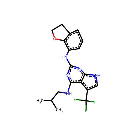 CC(C)CNc1nc(Nc2cc[c]c3c2OCC3)nc2[nH]cc(C(F)(F)F)c12